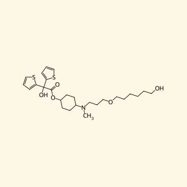 CN(CCCOCCCCCCO)C1CCC(OC(=O)C(O)(c2cccs2)c2cccs2)CC1